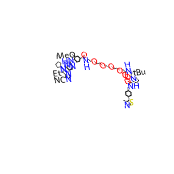 CCC1c2c(C#N)ncn2-c2cnc(Nc3ccc(C(=O)NCCOCCOCCOCCOCC(=O)N[C@H](C(=O)N4CCC[C@H]4C(=O)NCc4ccc(-c5scnc5C)cc4)C(C)(C)C)cc3OC)nc2N1C1CCCC1